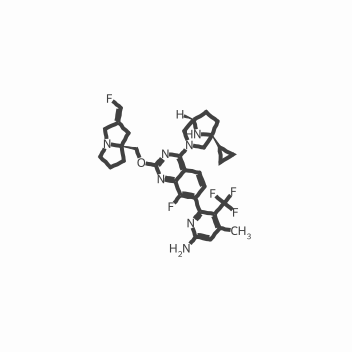 Cc1cc(N)nc(-c2ccc3c(N4C[C@@H]5CC[C@](C6CC6)(C4)N5)nc(OC[C@@]45CCCN4C/C(=C\F)C5)nc3c2F)c1C(F)(F)F